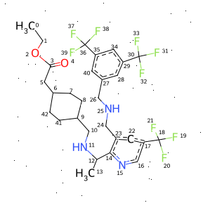 CCOC(=O)CC1CCC(CNC(C)c2ncc(C(F)(F)F)cc2CNCc2cc(C(F)(F)F)cc(C(F)(F)F)c2)CC1